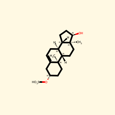 C[C@]12CC[C@H]3[C@@H](CC=C4C[C@@H](OS(=O)(=O)O)CC[C@@]43C)[C@@H]1CC[C@H]2O